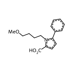 COCCCCn1c(C(=O)O)ccc1-c1ccccc1